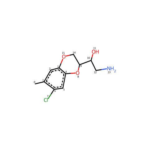 Cc1cc2c(cc1Cl)OC(C(O)CN)CO2